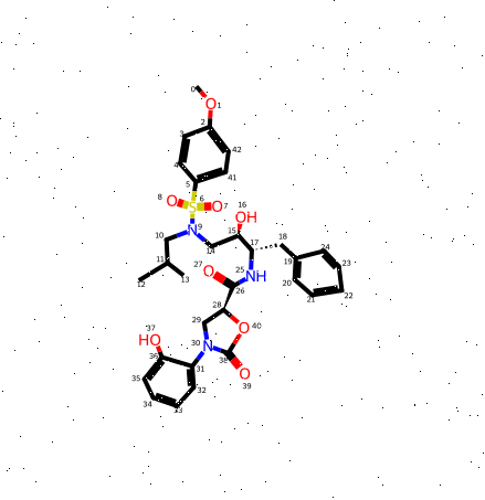 COc1ccc(S(=O)(=O)N(CC(C)C)C[C@@H](O)[C@H](Cc2ccccc2)NC(=O)[C@@H]2CN(c3ccccc3O)C(=O)O2)cc1